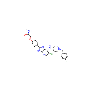 CNC(=O)COc1ccc(-c2nc3c(NC4CCN(Cc5ccc(F)cc5)CC4)c(Cl)cnc3[nH]2)cc1